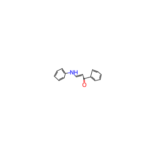 O=C(/C=C/Nc1ccccc1)c1ccccc1